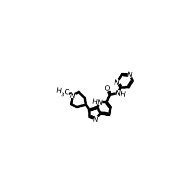 CN1CCC(c2cnc3ccc(C(=O)Nc4ccncn4)[nH]c2-3)CC1